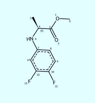 COC(=O)[C@H](C)Nc1ccc(F)c(F)c1